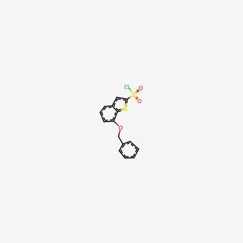 O=S(=O)(Cl)c1cc2cccc(OCc3ccccc3)c2s1